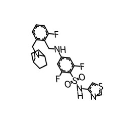 O=S(=O)(Nc1cscn1)c1c(F)cc(NCc2c(F)cccc2CN2C3CCC2CC3)cc1F